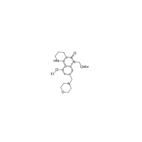 CCOc1cc(CN2CCOCC2)cc2c1c1c(c(=O)n2COC)CCCN1